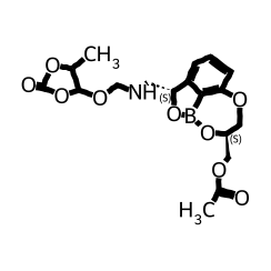 CC(=O)OC[C@@H]1COc2cccc3c2B(O1)O[C@@H]3CNCOC1OC(=O)OC1C